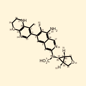 Cc1c(-c2cc3cc(N(C(=O)O)[C@H]4[C@@H]5COC[C@@H]54)ncc3c(N)c2F)cnc2c1NCCO2